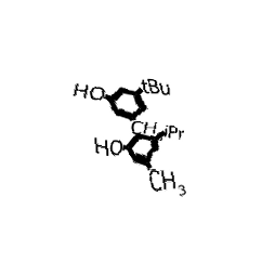 Cc1cc(O)cc(C(C)(C)C)c1.Cc1cc(O)cc(C(C)C)c1